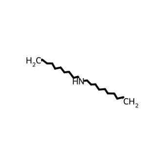 C=CCCCCCCCCNCCCCCCCCC=C